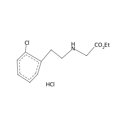 CCOC(=O)CNCCc1ccccc1Cl.Cl